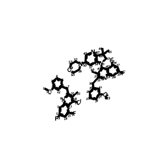 COc1cccc(Cc2nc3cc(F)cc(F)c3c(Cl)c2C)c1.COc1cccc(Cc2nc3cc(F)cc(F)c3c(N3CC(C)(C)c4ncc(N5CCOCC5)cc43)c2C)c1